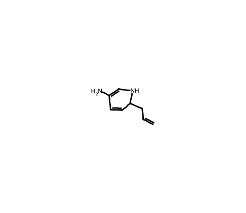 C=CCC1C=CC(N)=CN1